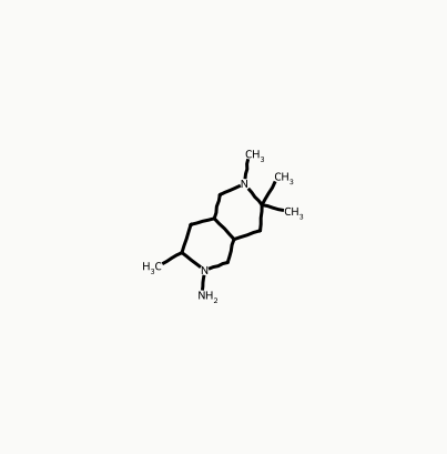 CC1CC2CN(C)C(C)(C)CC2CN1N